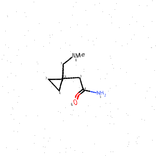 CNCC1(CC(N)=O)CC1